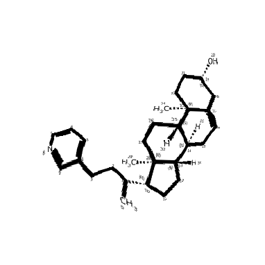 CC(CCc1cccnc1)[C@H]1CC[C@H]2[C@@H]3CC=C4C[C@@H](O)CC[C@]4(C)[C@H]3CC[C@]12C